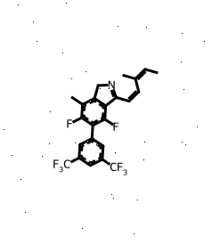 C/C=C(C)\C=C/C1=NCc2c(C)c(F)c(-c3cc(C(F)(F)F)cc(C(F)(F)F)c3)c(F)c21